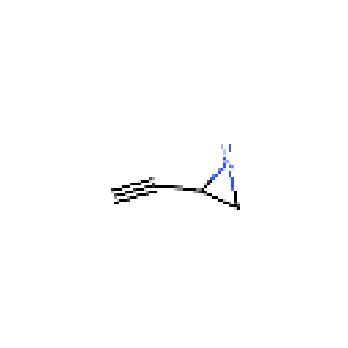 C#CC1CN1